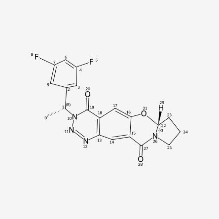 C[C@H](c1cc(F)cc(F)c1)n1nnc2cc3c(cc2c1=O)O[C@@H]1CCCN1C3=O